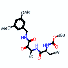 CCC(NC(=O)[C@H](CC(C)C)NC(=O)OC(C)(C)C)C(=O)C(=O)NCc1cc(OC)cc(OC)c1